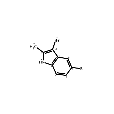 Cc1[nH]c2ccc(Br)cc2c1C(C)C